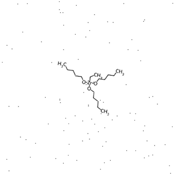 CCCCC[O][Zr]([CH2]C)([O]CCCCC)[O]CCCCC